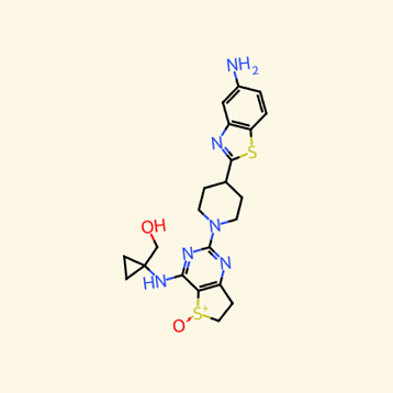 Nc1ccc2sc(C3CCN(c4nc5c(c(NC6(CO)CC6)n4)[S+]([O-])CC5)CC3)nc2c1